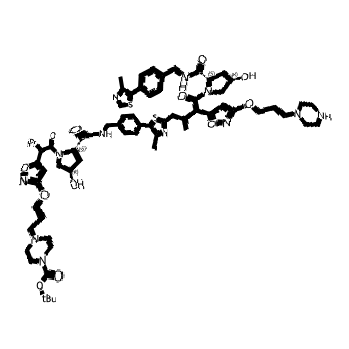 Cc1ncsc1-c1ccc(CNC(=O)[C@@H]2C[C@@H](O)CN2C(=O)C(c2cc(OCCCN3CCNCC3)no2)C(C)Cc2nc(C)c(-c3ccc(CNC(=O)[C@@H]4C[C@@H](O)CN4C(=O)C(c4cc(OCCCN5CCN(C(=O)OC(C)(C)C)CC5)no4)C(C)C)cc3)s2)cc1